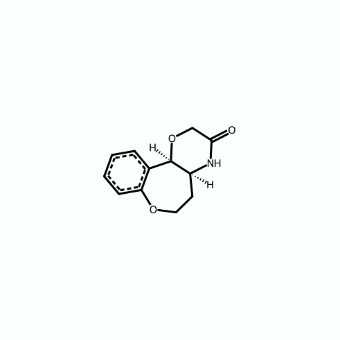 O=C1CO[C@@H]2c3ccccc3OCC[C@@H]2N1